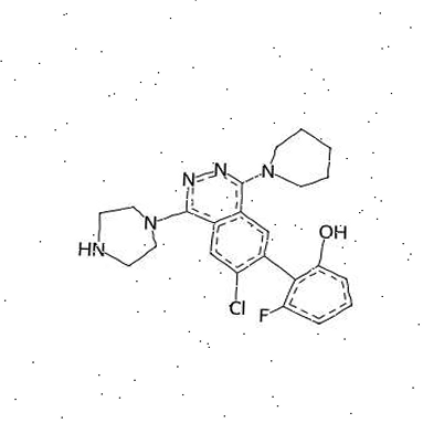 Oc1cccc(F)c1-c1cc2c(N3CCCCC3)nnc(N3CCNCC3)c2cc1Cl